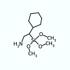 CO[Si](OC)(OC)C(CN)C1CCCCC1